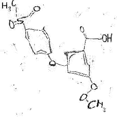 COOc1cc(Oc2ccc(S(C)(=O)=O)cc2)cc(C(=O)O)c1